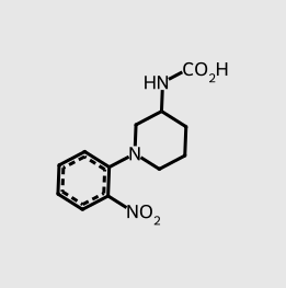 O=C(O)NC1CCCN(c2ccccc2[N+](=O)[O-])C1